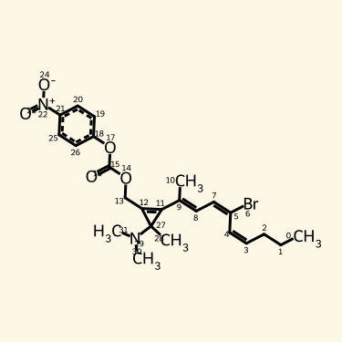 CCC\C=C/C(Br)=C\C=C(/C)C1=C(COC(=O)Oc2ccc([N+](=O)[O-])cc2)C1(C)N(C)C